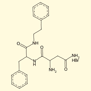 Br.NC(=O)CC(N)C(=O)NC(Cc1ccccc1)C(=O)NCCc1ccccc1